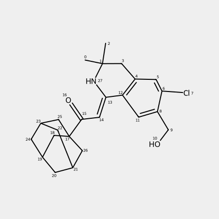 CC1(C)Cc2cc(Cl)c(CO)cc2/C(=C/C(=O)C23CC4CC(CC(C4)C2)C3)N1